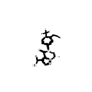 CCc1cc(N2C[C@H](C)n3ncc(C(=O)O)c3C2=O)ccc1C(F)(F)F